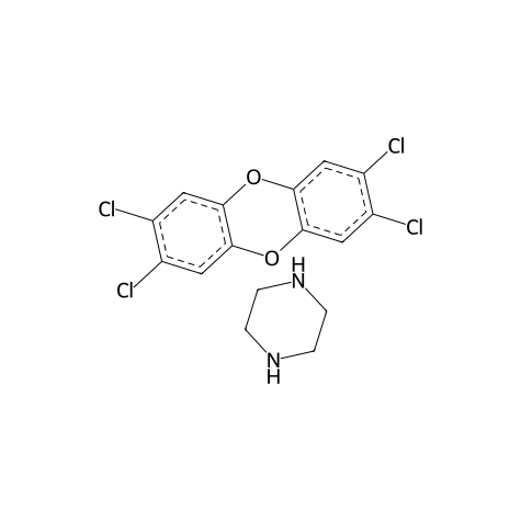 C1CNCCN1.Clc1cc2c(cc1Cl)Oc1cc(Cl)c(Cl)cc1O2